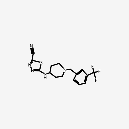 N#Cc1nnc(NC2CCN(Cc3cccc(C(F)(F)F)c3)CC2)s1